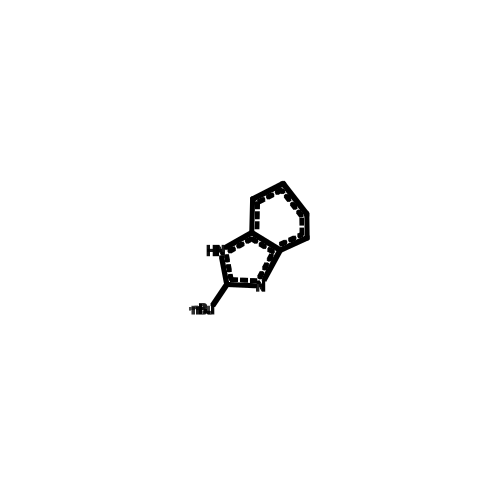 CCC[CH]c1nc2ccccc2[nH]1